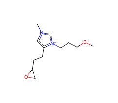 COCCC[n+]1cn(C)cc1CCC1CO1